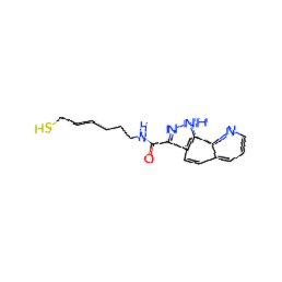 O=C(NCCCCCCS)c1n[nH]c2c1ccc1cccnc12